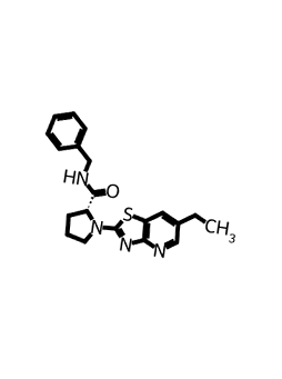 CCc1cnc2nc(N3CCC[C@@H]3C(=O)NCc3ccccc3)sc2c1